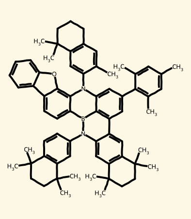 Cc1cc(C)c(-c2cc3c4c(c2)N(c2cc5c(cc2C)CCCC5(C)C)c2c(ccc5c2oc2ccccc25)B4N(c2ccc4c(c2)C(C)(C)CCC4(C)C)c2cc4c(cc2-3)C(C)(C)CCC4(C)C)c(C)c1